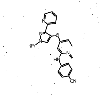 C=N/C(=C\C(=C/C)Oc1cn(C(C)C)nc1-c1ccccn1)Nc1ccc(C#N)cc1